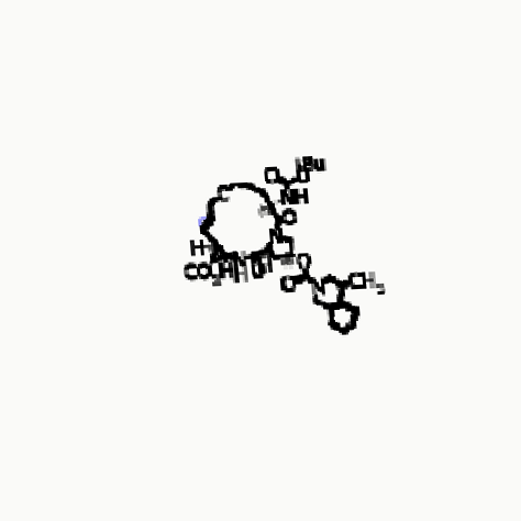 C[C@@H]1CN(C(=O)O[C@@H]2C[C@H]3C(=O)N[C@]4(C(=O)O)C[C@H]4/C=C/CCCCC[C@H](NC(=O)OC(C)(C)C)C(=O)N3C2)Cc2ccccc21